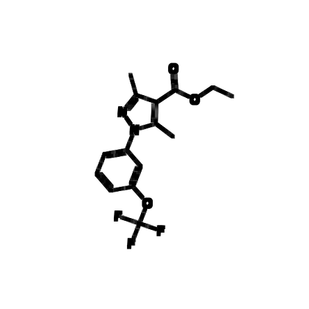 CCOC(=O)c1c(C)nn(-c2cccc(OC(F)(F)F)c2)c1C